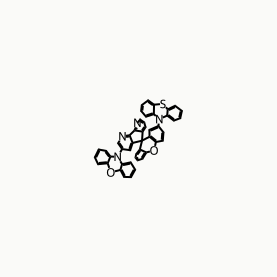 c1ccc2c(c1)Oc1ccccc1N2c1cnc2c(c1)C1(c3ccccc3Oc3ccc(N4c5ccccc5Sc5ccccc54)cc31)c1cccnc1-2